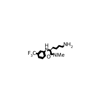 CNC(=O)[C@H](CCCCN)Nc1cccc(C(F)(F)F)c1